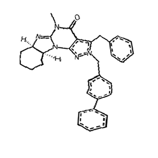 CN1C(=O)c2c(nn(Cc3ccc(-c4ccccc4)cc3)c2Cc2ccccc2)N2C1=N[C@@H]1CCCC[C@@H]12